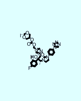 C[C@@H](N1CCN(c2ccc(-n3cnnn3)cc2)C1=O)[C@](O)(C[n+]1cn(COC(=O)OC2COCOC2)cn1)c1ccc(F)cc1F.[I-]